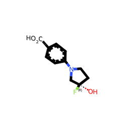 O=C(O)c1ccc(N2CC[C@@](O)(F)C2)cc1